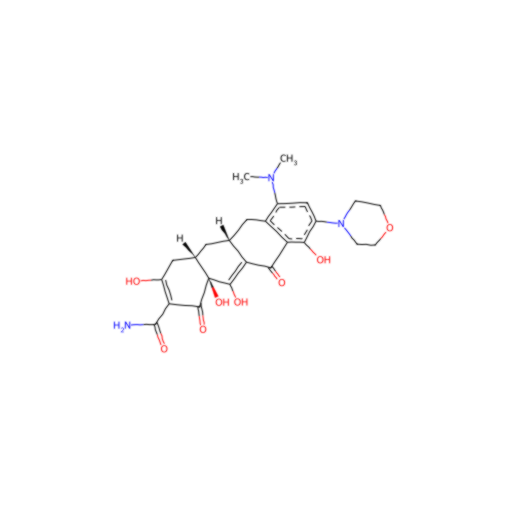 CN(C)c1cc(N2CCOCC2)c(O)c2c1C[C@H]1C[C@H]3CC(O)=C(C(N)=O)C(=O)[C@@]3(O)C(O)=C1C2=O